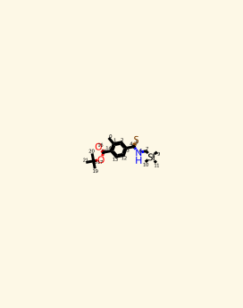 Cc1cc(C(=S)NC[Si](C)(C)C)ccc1C(=O)OC(C)(C)C